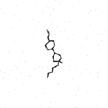 CCCCCC1(C)CCC(C2CCC(CCC)CC2)CC1